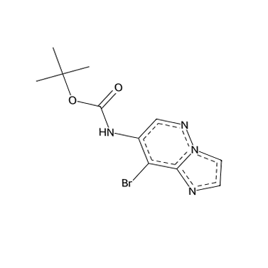 CC(C)(C)OC(=O)Nc1cnn2ccnc2c1Br